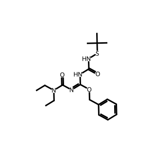 CCN(CC)C(=O)N=C(NC(=O)NSC(C)(C)C)OCc1ccccc1